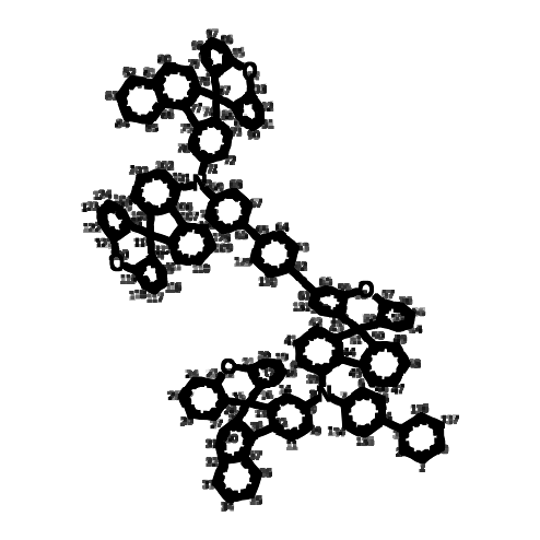 c1ccc(-c2ccc(N(c3ccc4c(c3)C3(c5ccccc5Oc5ccccc53)c3ccc5ccccc5c3-4)c3cccc4c3-c3ccccc3C43c4ccccc4Oc4cc(-c5ccc(-c6ccc(N(c7ccc8c(c7)-c7c(ccc9ccccc79)C87c8ccccc8Oc8ccccc87)c7cccc8c7-c7ccccc7C87c8ccccc8Oc8ccccc87)cc6)cc5)ccc43)cc2)cc1